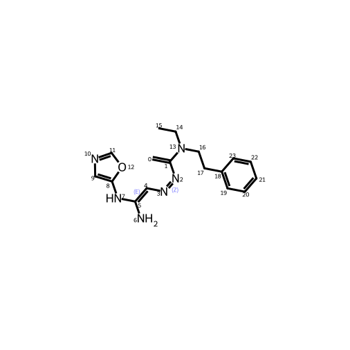 C=C(/N=N\C=C(/N)Nc1cnco1)N(CC)CCc1ccccc1